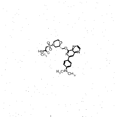 CNC(=O)CS(=O)(=O)N1CCO[C@H](COc2nc(-c3ccc(N(C)C)cc3)cc3nccnc23)C1